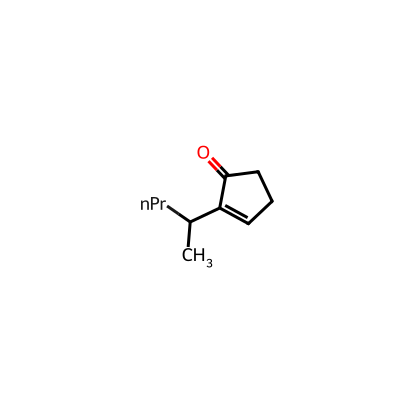 CCCC(C)C1=CCCC1=O